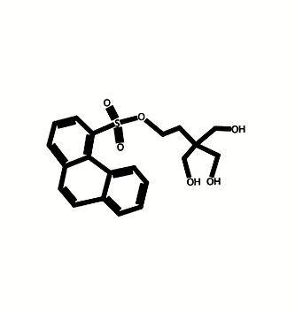 O=S(=O)(OCCC(CO)(CO)CO)c1cccc2ccc3ccccc3c12